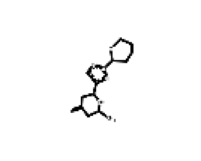 CC1CC(=O)CC(c2cnn(C3CCCCO3)n2)N1